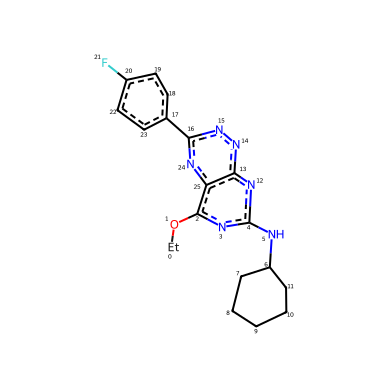 CCOc1nc(NC2CCCCC2)nc2nnc(-c3ccc(F)cc3)nc12